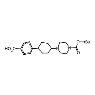 CC(C)(C)OC(=O)N1CCN(C2CCC(c3ccc(C(=O)O)cc3)CC2)CC1